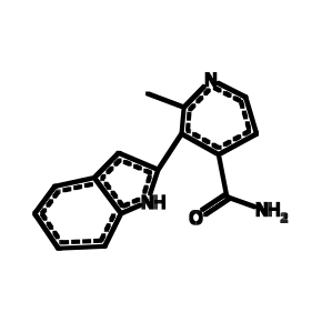 Cc1nccc(C(N)=O)c1-c1cc2ccccc2[nH]1